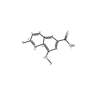 COc1cc(C(=O)O)cc2ccc(C)nc12